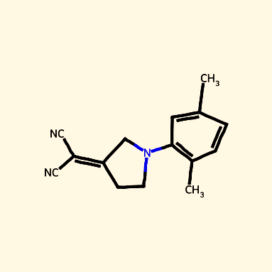 Cc1ccc(C)c(N2CCC(=C(C#N)C#N)C2)c1